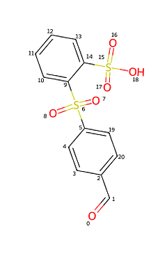 O=Cc1ccc(S(=O)(=O)c2ccccc2S(=O)(=O)O)cc1